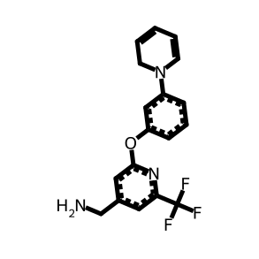 NCc1cc(Oc2cccc(N3C=CC=CC3)c2)nc(C(F)(F)F)c1